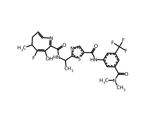 CC1C/C=C/N=C(C(=O)NC(C)c2ncc(C(=O)Nc3cc(C(=O)N(C)C)cc(C(F)(F)F)c3)s2)\C(O)=C/1F